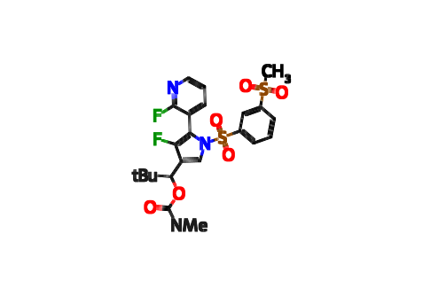 CNC(=O)OC(c1cn(S(=O)(=O)c2cccc(S(C)(=O)=O)c2)c(-c2cccnc2F)c1F)C(C)(C)C